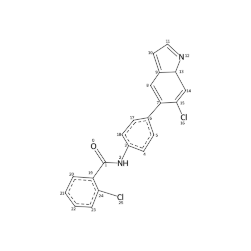 O=C(Nc1ccc(C2=CC3=CC=NC3C=C2Cl)cc1)c1ccccc1Cl